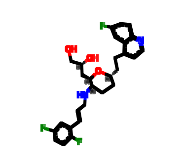 OC[C@H](O)C[C@H]1O[C@H](CCc2ccnc3ccc(F)cc23)CC[C@H]1NCC=Cc1cc(F)ccc1F